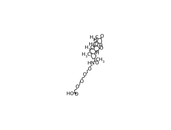 C[C@H]1C(=O)CC[C@]2(C)[C@H]3C(=O)C=C4C(CC[C@@]5(C)CC[C@](C)(C(=O)NCCOCCOCCOCCOCCC(=O)O)C[C@H]45)[C@]3(C)CC[C@@H]12